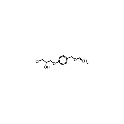 C=COCc1ccc(OCC(O)CCl)cc1